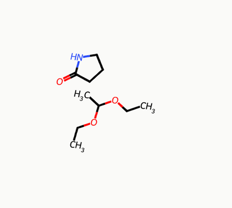 CCOC(C)OCC.O=C1CCCN1